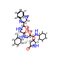 O=C(NC1CCCCC1)C(=O)[C@H](C[C@@H]1CCNC1=O)NC(=O)[C@H](CC1CCCCC1)NC(=O)c1cnc2ccccc2n1